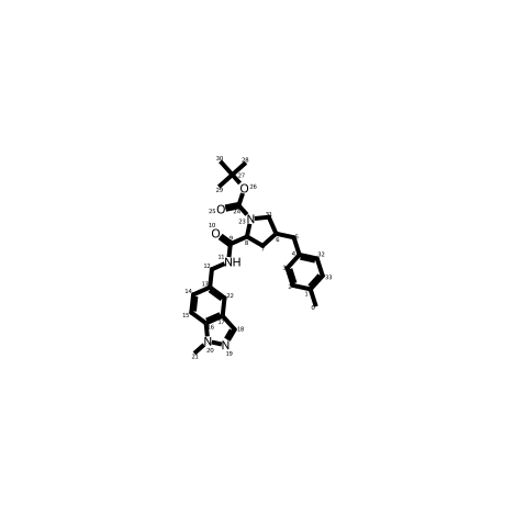 Cc1ccc(CC2CC(C(=O)NCc3ccc4c(cnn4C)c3)N(C(=O)OC(C)(C)C)C2)cc1